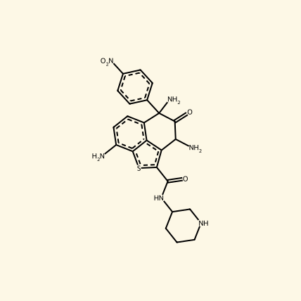 Nc1ccc2c3c(c(C(=O)NC4CCCNC4)sc13)C(N)C(=O)C2(N)c1ccc([N+](=O)[O-])cc1